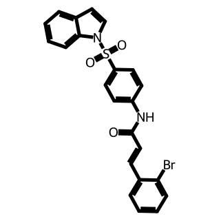 O=C(C=Cc1ccccc1Br)Nc1ccc(S(=O)(=O)n2ccc3ccccc32)cc1